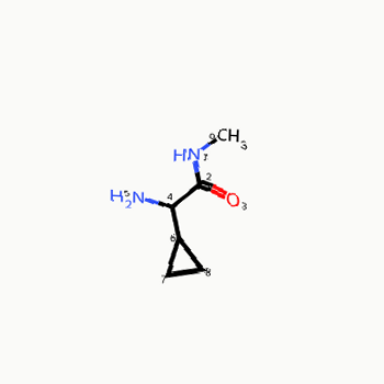 CNC(=O)C(N)C1CC1